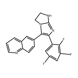 Fc1cc(F)c(F)c(-c2nc3n(c2-c2ccc4ncccc4c2)CCN3)c1